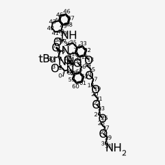 C[C@@H](C(=O)N[C@H](C(=O)N1Cc2cc(OCCOCCOCCOCCOCCOCCN)ccc2C[C@H]1C(=O)N[C@@H]1CCCc2ccccc21)C(C)(C)C)N(C)C(=O)OCc1ccccc1